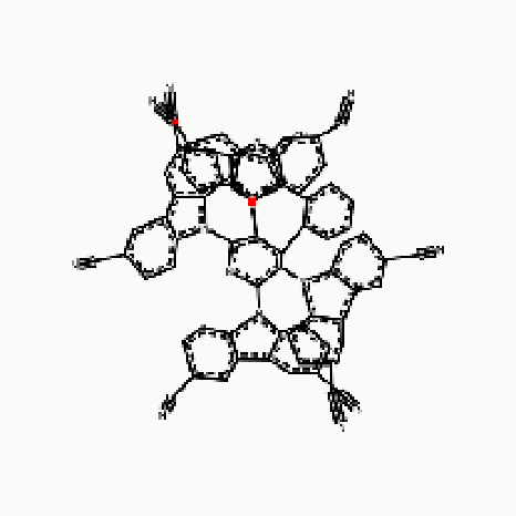 Cc1ccc(-c2ccccc2-c2c(-n3c4ccc(C#N)cc4c4cc(C#N)ccc43)c(-n3c4ccc(C#N)cc4c4cc(C#N)ccc43)nc(-n3c4ccc(C#N)cc4c4cc(C#N)ccc43)c2-n2c3ccc(C#N)cc3c3cc(C#N)ccc32)c(C)n1